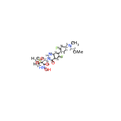 COCCN(C)Cc1ccc(-c2cc3ncn(CC[C@](C)(C(=O)NO)S(C)(=O)=O)c(=O)c3cc2F)c(F)c1